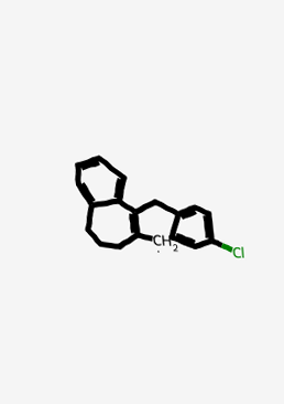 [CH2]C1=C(Cc2ccc(Cl)cc2)c2ccccc2CCC1